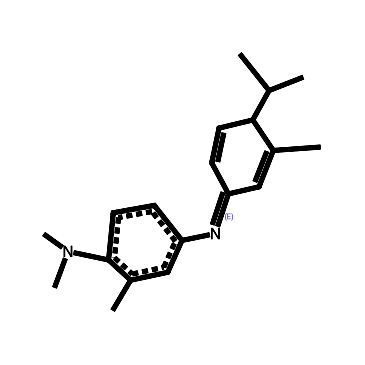 CC1=C/C(=N/c2ccc(N(C)C)c(C)c2)C=CC1C(C)C